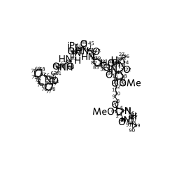 COc1cc2c(cc1OCCCCCOc1cc3c(cc1OC)C(=O)N1CC4(CC4)C[C@H]1[C@@H](O)N3C(=O)OCc1ccc(NC(=O)[C@H](C)NC(=O)[C@@H](NC(=O)CNC(=O)CNC(=O)CCC(=O)N3Cc4ccccc4C#Cc4ccccc43)C(C)C)cc1)N=C[C@@H]1CC3(CC3)CN1C2=O